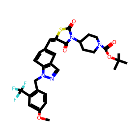 COc1ccc(Cn2ncc3cc(C=C4SC(=O)N(C5CCN(C(=O)OC(C)(C)C)CC5)C4=O)ccc32)c(C(F)(F)F)c1